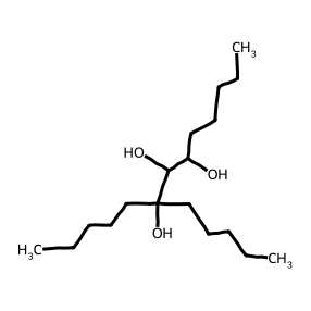 CCCCCC(O)C(O)C(O)(CCCCC)CCCCC